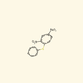 O=[N+]([O-])c1ccc(Sc2ccccc2)c([N+](=O)[O-])c1